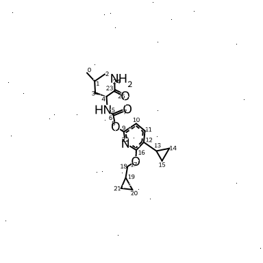 CC(C)C[C@H](NC(=O)Oc1ccc(C2CC2)c(OCC2CC2)n1)C(N)=O